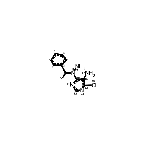 CC(c1ccccc1)N(N)c1ncnc(Cl)c1N